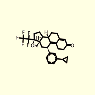 C[C@]12C[C@H](c3cccc(C4CC4)c3)C3=C4CCC(=O)C=C4CC[C@H]3[C@@H]1CC[C@@]2(O)C(F)(F)C(F)(F)F